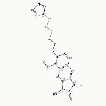 COc1c(OCCCCCn2ccnc2)ccc2c1CN1C(=N2)N(C)C(=O)C1O